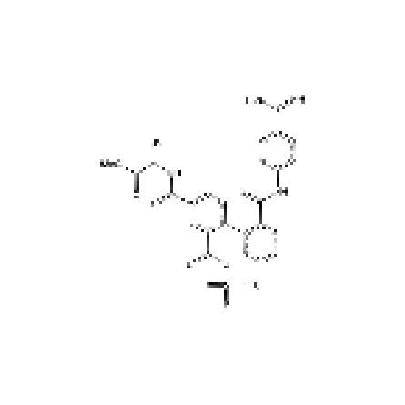 COC(=O)C(NC(=O)c1ccc(-c2ccccc2C(=O)Nc2ccc(C(=N)N)cc2)c(C(=O)OS(C)(=O)=O)c1)C(C)C